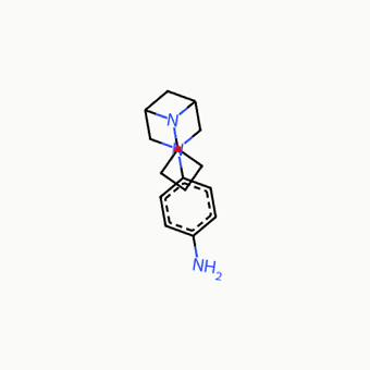 Nc1ccc(N2CC3CC(C2)N3C2CCC2)cc1